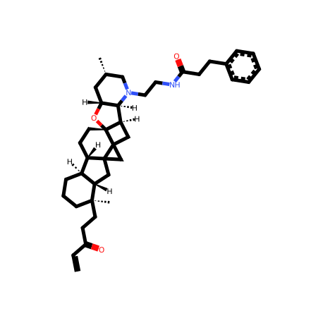 C=CC(=O)CC[C@@]1(C)CCC[C@H]2[C@@H]3CC[C@@]45O[C@@H]6C[C@H](C)CN(CCNC(=O)CCc7ccccc7)[C@H]6[C@H]4CC54CC34C[C@@H]21